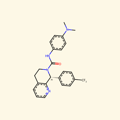 CN(C)c1ccc(NC(=O)N2CCc3cccnc3[C@H]2c2ccc(C(F)(F)F)cc2)cc1